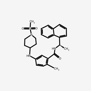 Cc1ccc(NC2CCN(S(C)(=O)=O)CC2)cc1C(=O)N[C@H](C)c1cccc2ccccc12